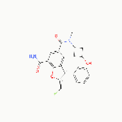 CN(C(=O)c1cc(C(N)=O)c2c(c1)[C@H](c1ccccc1)[C@@H](CF)O2)C1CC(O)C1